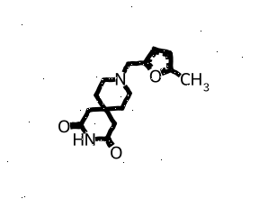 Cc1ccc(CN2CCC3(CC2)CC(=O)NC(=O)C3)o1